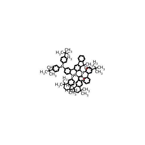 CC(C)(C)c1ccc(N(c2ccc(C(C)(C)C)cc2)c2ccc3c(c2)-c2cc4c(c5c2B(c2c(sc6cc7c(cc26)C(C)(C)CCC7(C)C)N5c2ccc(C(C)(C)C)cc2-c2ccccc2)N3c2ccc3c(c2)C(C)(C)CCC3(C)C)C(C)(C)c2ccccc2-4)cc1